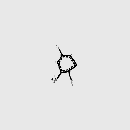 Bc1cc(Cl)ccc1F